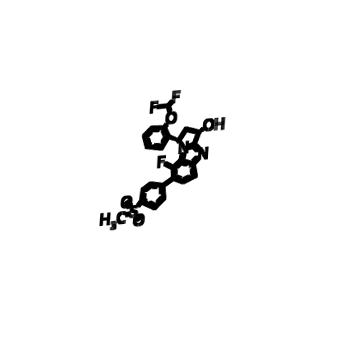 CS(=O)(=O)c1ccc(-c2ccc3nc4n(c3c2F)[C@@H](c2ccccc2OC(F)F)C[C@H]4O)cc1